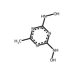 Cc1nc(NO)nc(NO)n1